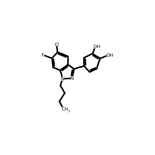 CCCCn1nc(-c2ccc(O)c(O)c2)c2cc(Cl)c(F)cc21